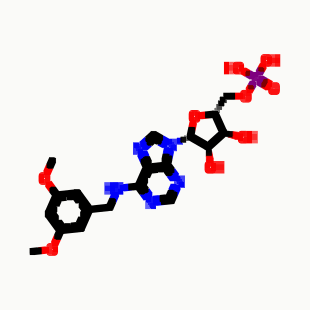 COc1cc(CNc2ncnc3c2ncn3[C@@H]2O[C@H](COP(=O)(O)O)[C@@H](O)[C@H]2O)cc(OC)c1